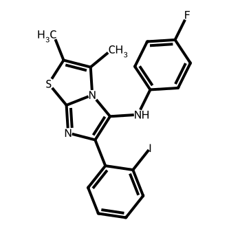 Cc1sc2nc(-c3ccccc3I)c(Nc3ccc(F)cc3)n2c1C